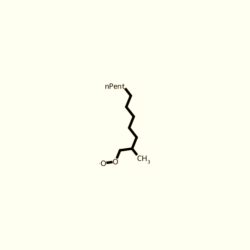 CCCCCCCCCCC(C)CO[O]